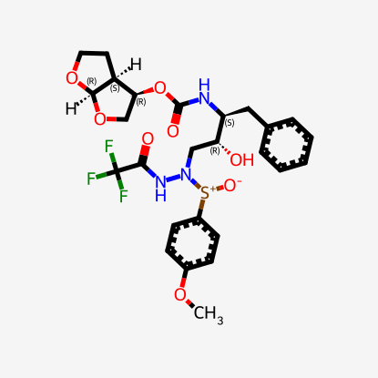 COc1ccc([S+]([O-])N(C[C@@H](O)[C@H](Cc2ccccc2)NC(=O)O[C@H]2CO[C@H]3OCC[C@H]32)NC(=O)C(F)(F)F)cc1